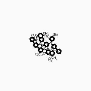 Cc1cc2c(cc1N1c3cc(N(c4ccc(-c5ccccc5)cc4)c4ccc(C(C)(C)C)cc4)ccc3B3c4c(cc(C(C)(C)C)cc41)-c1ccc4c(sc5ccccc54)c1N3c1ccc3c(c1)C(C)(C)CCC3(C)C)C(C)(C)CCC2(C)C